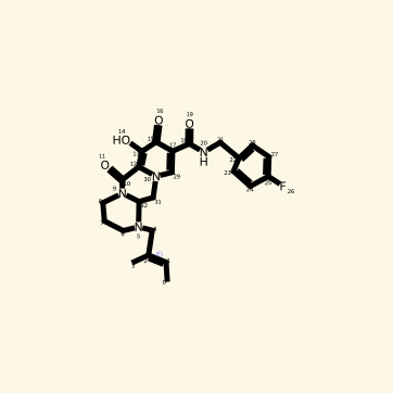 C/C=C(\C)CN1CCCN2C(=O)c3c(O)c(=O)c(C(=O)NCc4ccc(F)cc4)cn3CC12